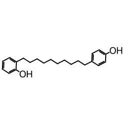 Oc1ccc(CCCCCCCCCCc2ccccc2O)cc1